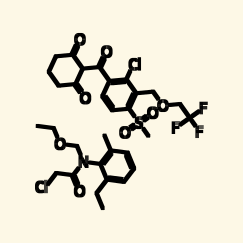 CCOCN(C(=O)CCl)c1c(C)cccc1CC.CS(=O)(=O)c1ccc(C(=O)C2C(=O)CCCC2=O)c(Cl)c1COCC(F)(F)F